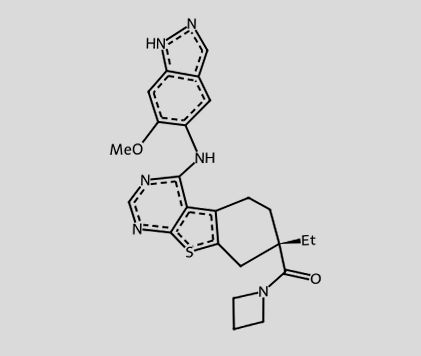 CC[C@]1(C(=O)N2CCC2)CCc2c(sc3ncnc(Nc4cc5cn[nH]c5cc4OC)c23)C1